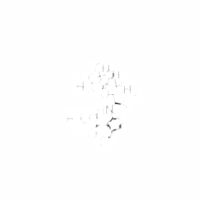 COC(=O)c1c(Cl)csc1NC(=S)C(C)O[Si](C)(C)C(C)(C)C